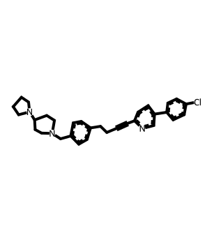 Clc1ccc(-c2ccc(C#CCCc3ccc(CN4CCC(N5CCCC5)CC4)cc3)nc2)cc1